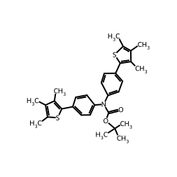 Cc1sc(-c2ccc(N(C(=O)OC(C)(C)C)c3ccc(-c4sc(C)c(C)c4C)cc3)cc2)c(C)c1C